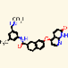 O=C(O)NCc1cc(NC(=O)C2CCc3ccc(Oc4ccnc5[nH]c(=O)ccc45)cc3C2)cc(C(F)(F)F)c1